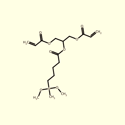 C=CC(=O)OCC(COC(=O)C=C)OC(=O)CCCC[Si](C)(OC)OC